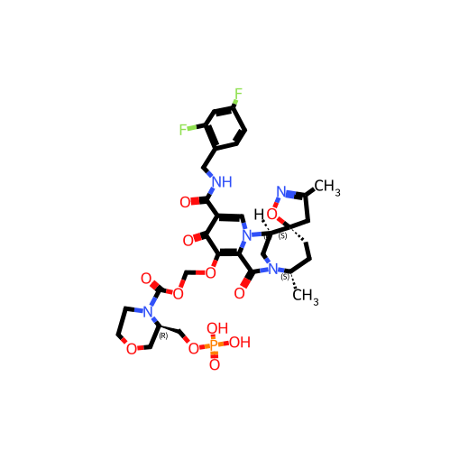 CC1=NO[C@@]2(CC[C@H](C)N3C[C@H]2n2cc(C(=O)NCc4ccc(F)cc4F)c(=O)c(OCOC(=O)N4CCOC[C@@H]4COP(=O)(O)O)c2C3=O)C1